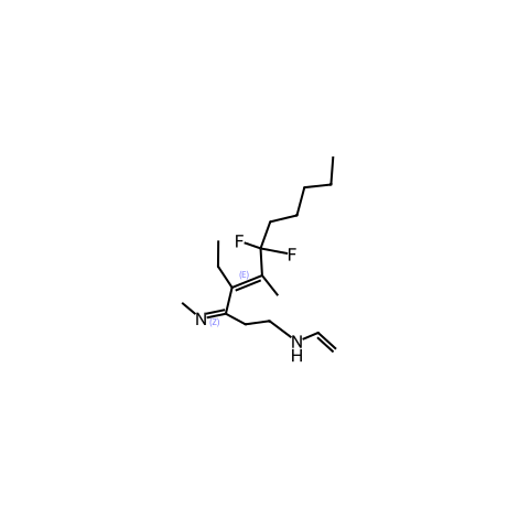 C=CNCCC(=N/C)/C(CC)=C(\C)C(F)(F)CCCCC